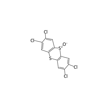 [O-][S+]1c2cc(Cl)c(Cl)cc2Sc2cc(Cl)c(Cl)cc21